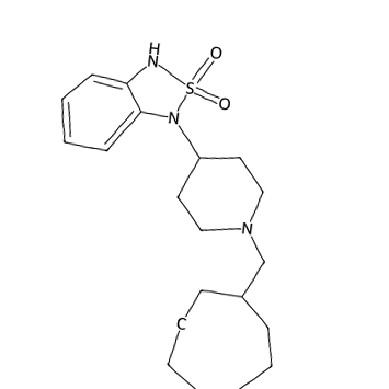 O=S1(=O)Nc2ccccc2N1C1CCN(CC2CCCCCCC2)CC1